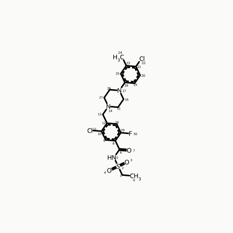 CCS(=O)(=O)NC(=O)c1cc(Cl)c(CN2CCN(c3ccc(Cl)c(C)c3)CC2)cc1F